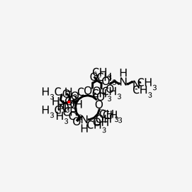 CC[C@H]1OC(=O)[C@H](C)[C@@H](O[C@H]2C[C@@](C)(OC)[C@@H](OC(=O)CCNCCN(C)C)[C@H](C)O2)[C@H](C)[C@@H](O[C@@H]2O[C@H](C)C[C@H](N(C)C)[C@H]2O)[C@](C)(OC)C[C@@H](C)C(=O)N[C@H](C)[C@@H](O)[C@]1(C)O